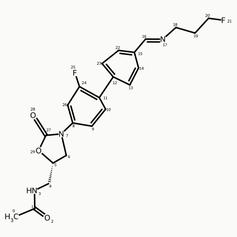 CC(=O)NC[C@H]1CN(c2ccc(-c3ccc(C=NCCCF)cc3)c(F)c2)C(=O)O1